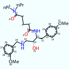 CCCN(CCC)C(=O)CCCC(=O)N[C@@H](Cc1ccc(OC)cc1)[C@H](O)CNCc1cccc(OC)c1